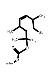 CCCCCCOC(=O)OC(C)(C)CC(C)/C=C\C(C)CC(C)(C)C